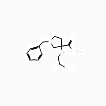 COC(=O)C1(NC[C@@H](C)N)CCN(Cc2ccccc2)C1